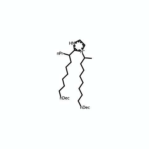 CCCCCCCCCCCCCCCCCC(C)[n+]1cc[nH]c1C(CCC)CCCCCCCCCCCCCCCC